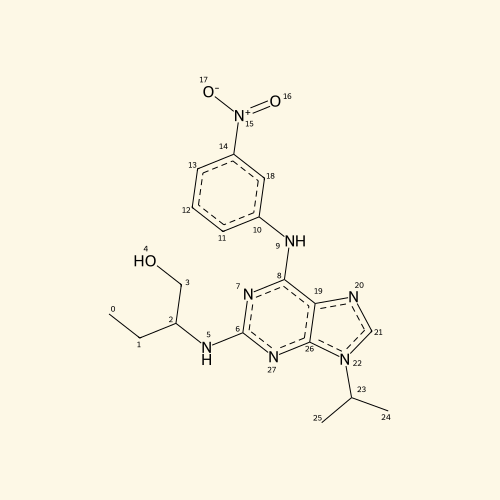 CCC(CO)Nc1nc(Nc2cccc([N+](=O)[O-])c2)c2ncn(C(C)C)c2n1